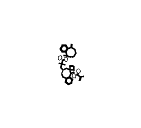 C=C(C)C(=O)OC1(C)c2ccccc2CCC(CC(C)(C)C(=O)OC2(C)CCCCC(C)c3ccccc32)CC12CCC2